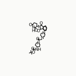 CC(C)(C)OC(=O)NC1CCN(C(=O)CN2CCN(c3cccc4c3C(=O)N(C3CCC(=O)NC3=O)C4=O)CC2)CC1